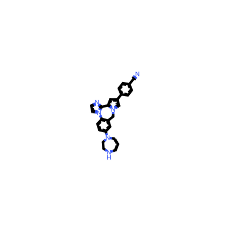 N#Cc1ccc(-c2cc3n(c2)Cc2cc(N4CCCNCC4)ccc2-n2ccnc2-3)cc1